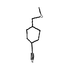 COCC1CCC(C#N)CC1